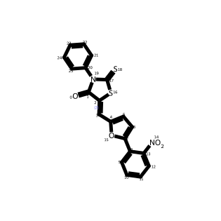 O=C1/C(=C/c2ccc(-c3ccccc3[N+](=O)[O-])o2)SC(=S)N1c1ccccc1